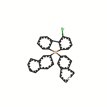 Brc1cccc2c1-c1ccccc1S2(c1ccc2ccccc2c1)c1ccc2ccccc2c1